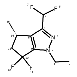 CCn1nc(C(F)F)c2c1C(F)(F)C[C@@H]2C